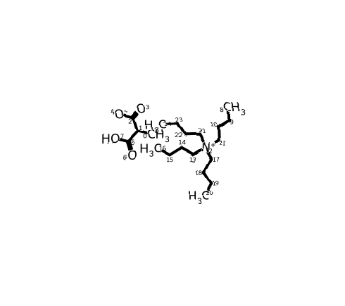 CC(C(=O)[O-])C(=O)O.CCCC[N+](CCCC)(CCCC)CCCC